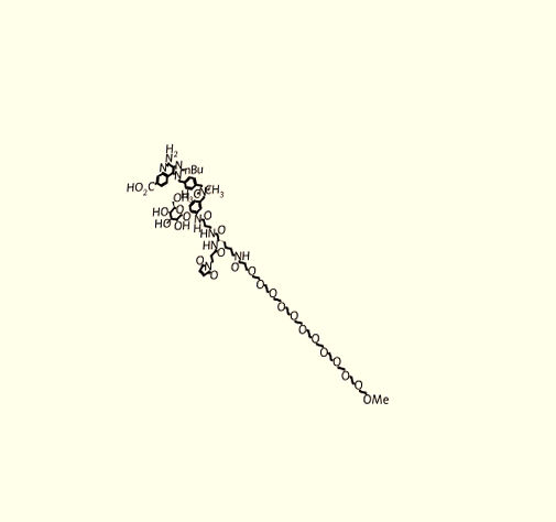 CCCCc1nc2c(N)nc3cc(C(=O)O)ccc3c2n1Cc1ccc(C[N+](C)(C)Cc2ccc(O[C@H]3O[C@H](CO)[C@@H](O)[C@H](O)[C@@H]3O)c(NC(=O)CCNC(=O)[C@H](CCCCNC(=O)CCOCCOCCOCCOCCOCCOCCOCCOCCOCCOCCOCCOC)NC(=O)CCN3C(=O)C=CC3=O)c2)cc1